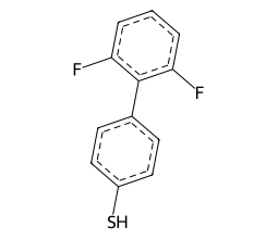 Fc1cccc(F)c1-c1ccc(S)cc1